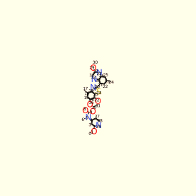 COc1cc(N(C)C(=O)O[C@@H]2COc3c(cc(C)c4nc(-c5cc(C)cc6nc(OC)cnc56)sc34)O2)ccn1